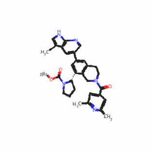 Cc1cc(C(=O)N2CCc3cc(-c4cnc5[nH]cc(C)c5c4)cc([C@@H]4CCCN4C(=O)OC(C)(C)C)c3C2)cc(C)n1